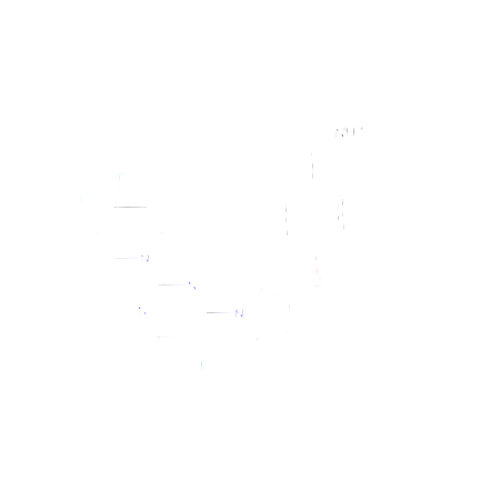 CC(=O)N[C@@H](C)c1ccc(O[C@@H]2CCN(c3nc(N4CCC(F)(F)CC4)ncc3F)C2)cc1